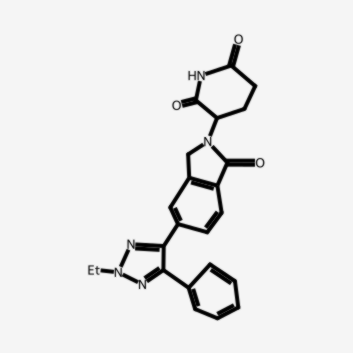 CCn1nc(-c2ccccc2)c(-c2ccc3c(c2)CN(C2CCC(=O)NC2=O)C3=O)n1